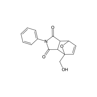 O=C1C2C3C=CC(CO)(O3)C2C(=O)N1c1ccccc1